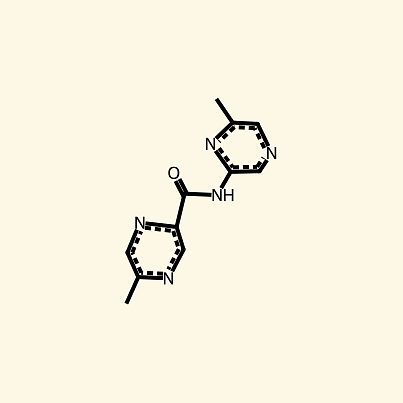 Cc1cnc(C(=O)Nc2cncc(C)n2)cn1